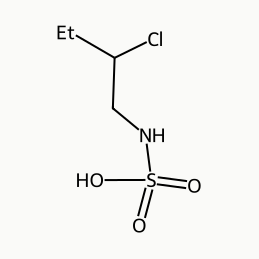 [CH2]CC(Cl)CNS(=O)(=O)O